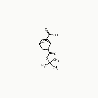 CC(C)(C)OC(=O)N1CC2CCC1C(C(=O)O)C2